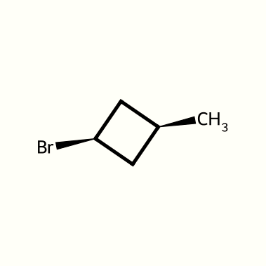 C[C@H]1C[C@@H](Br)C1